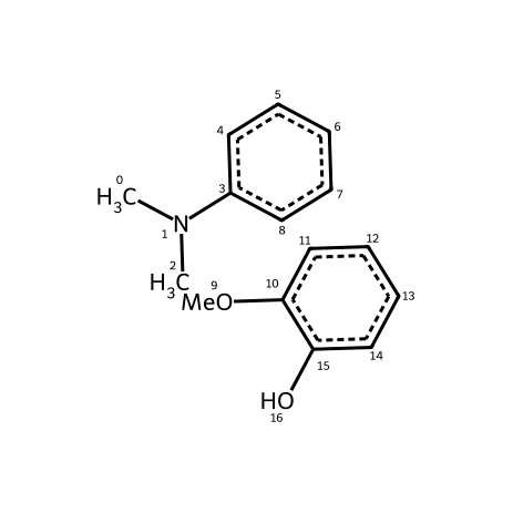 CN(C)c1ccccc1.COc1ccccc1O